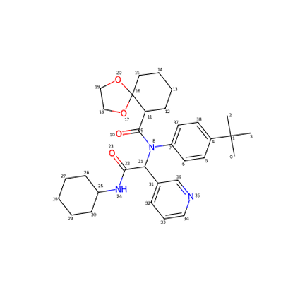 CC(C)(C)c1ccc(N(C(=O)C2CCCCC23OCCO3)C(C(=O)NC2CCCCC2)c2cccnc2)cc1